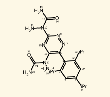 CC(C)c1cc(C(C)C)c(-c2nnc(N(N)C(N)=O)nc2N(N)C(N)=O)c(C(C)C)c1